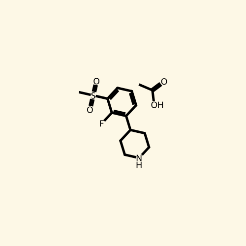 CC(=O)O.CS(=O)(=O)c1cccc(C2CCNCC2)c1F